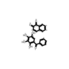 O=C(c1ccccc1)c1cc(O)c(O)c(O)c1O.O=C1C=Cc2ccccc2C1=O